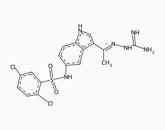 C/C(=N\NC(=N)N)c1c[nH]c2ccc(NS(=O)(=O)c3cc(Cl)ccc3Cl)cc12